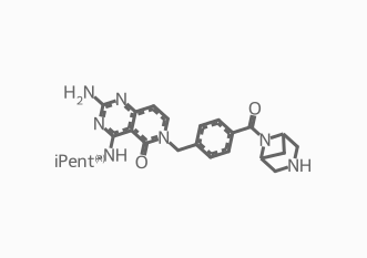 CCC[C@@H](C)Nc1nc(N)nc2ccn(Cc3ccc(C(=O)N4C5CNCC4C5)cc3)c(=O)c12